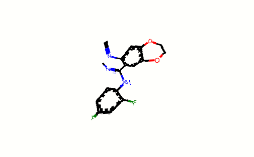 C=Nc1cc2c(cc1/C(=N\C)Nc1ccc(F)cc1F)OCCO2